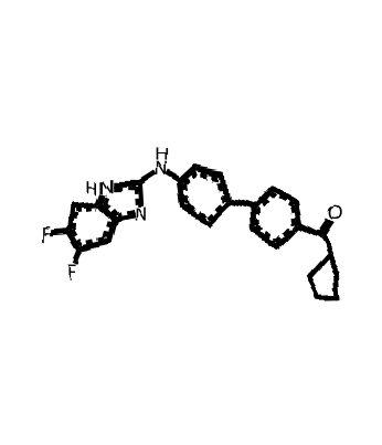 O=C(c1ccc(-c2ccc(Nc3nc4cc(F)c(F)cc4[nH]3)cc2)cc1)C1CCCC1